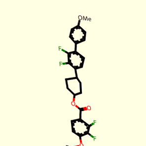 CCOc1ccc(C(=O)OC2CCC(c3ccc(-c4ccc(OC)cc4)c(F)c3F)CC2)c(F)c1F